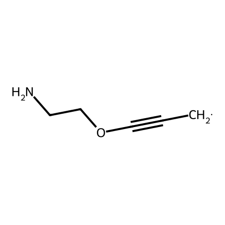 [CH2]C#COCCN